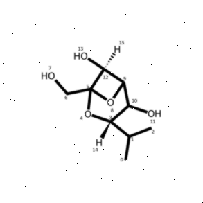 CC(C)[C@@H]1OC2(CO)OC(C1O)[C@@H]2O